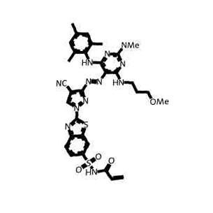 C=CC(=O)NS(=O)(=O)c1ccc2nc(-n3cc(C#N)c(N=Nc4c(NCCCOC)nc(NC)nc4Nc4c(C)cc(C)cc4C)n3)sc2c1